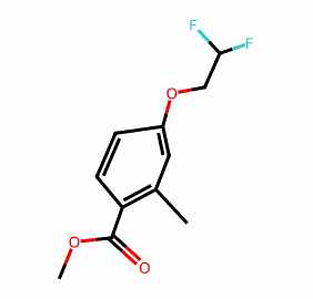 COC(=O)c1ccc(OCC(F)F)cc1C